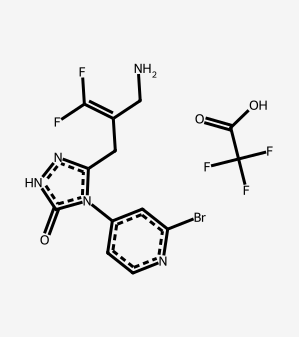 NCC(Cc1n[nH]c(=O)n1-c1ccnc(Br)c1)=C(F)F.O=C(O)C(F)(F)F